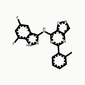 Cc1ccccc1-c1nc(Nc2n[nH]c3c(F)cc(F)cc23)c2oncc2n1